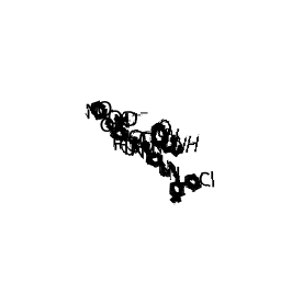 CN1CCO[C@H](COc2ccc(S(=O)(=O)NC(=O)c3ccc(N4CCN(CC5=C(c6ccc(Cl)cc6)CC(C)(C)CC5)CC4)cc3N3CCCOc4nc5[nH]ccc5cc43)cc2[N+](=O)[O-])C1